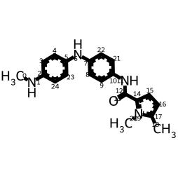 CNc1ccc(Nc2ccc(NC(=O)c3ccc(C)n3C)cc2)cc1